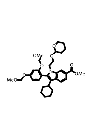 COCOc1ccc(-c2c(C3CCCCC3)c3ccc(C(=O)OC)cc3n2CCOC2CCCCO2)c(OCOC)c1